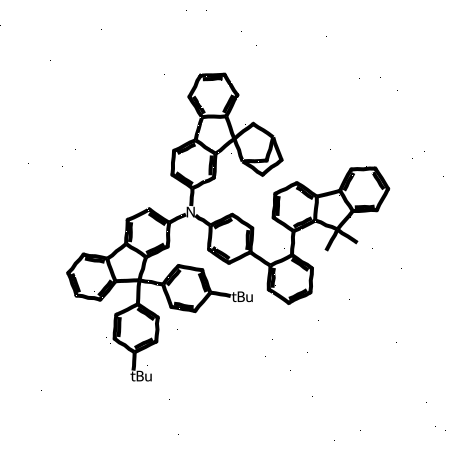 CC(C)(C)c1ccc(C2(c3ccc(C(C)(C)C)cc3)c3ccccc3-c3ccc(N(c4ccc(-c5ccccc5-c5cccc6c5C(C)(C)c5ccccc5-6)cc4)c4ccc5c(c4)C4(CC6CCC4C6)c4ccccc4-5)cc32)cc1